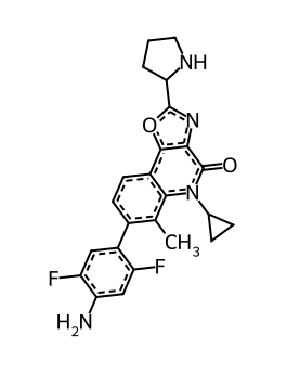 Cc1c(-c2cc(F)c(N)cc2F)ccc2c3oc(C4CCCN4)nc3c(=O)n(C3CC3)c12